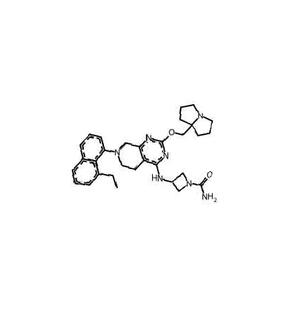 CCc1cccc2cccc(N3CCc4c(nc(OCC56CCCN5CCC6)nc4NC4CN(C(N)=O)C4)C3)c12